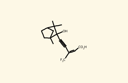 CC12CCC(C1)C(C)(C)C2(O)C#C/C(=C\C(=O)O)C(F)(F)F